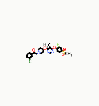 Cc1c(Oc2ccc(S(C)(=O)=O)cc2F)ncnc1OC1CCN(CC(=O)c2cccc(Cl)c2)CC1